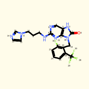 O=c1[nH]c2cnc(NCCCn3ccnc3)nc2n1Cc1c(F)cccc1C(F)(F)F